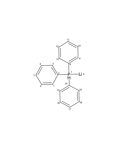 [Li][PH](c1ccccc1)(c1ccccc1)c1ccccc1